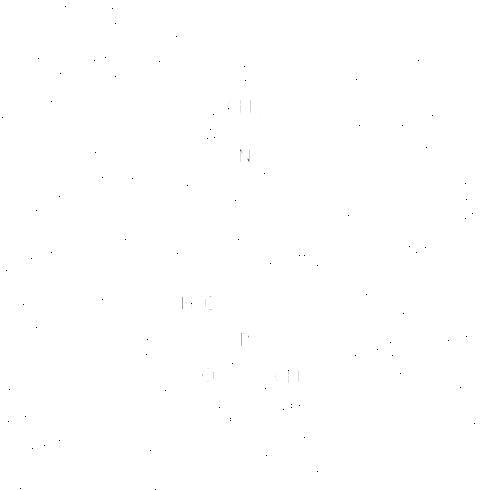 CN1CCC(CP(C)(C)=O)CC1